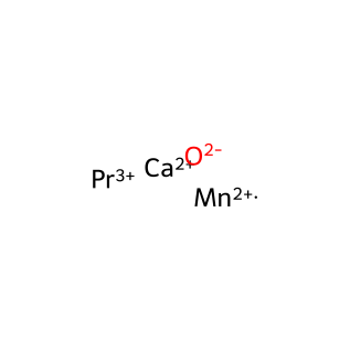 [Ca+2].[Mn+2].[O-2].[Pr+3]